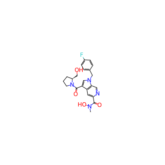 CN(O)C(=O)c1cc2c(C(=O)N3CCC[C@H]3CO)cn(Cc3ccc(F)cc3)c2cn1